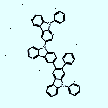 c1ccc(-c2cc3c(cc2-c2ccc4c(c2)c2ccccc2n4-c2ccc4c(c2)c2ccccc2n4-c2ccccc2)c2ccccc2n3-c2ccccc2)cc1